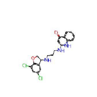 O=c1cc(NCCCNC2COc3c(Cl)cc(Cl)cc32)[nH]c2ccccc12